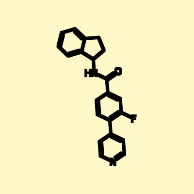 O=C(NC1CCc2ccccc21)c1ccc(-c2ccncc2)c(F)c1